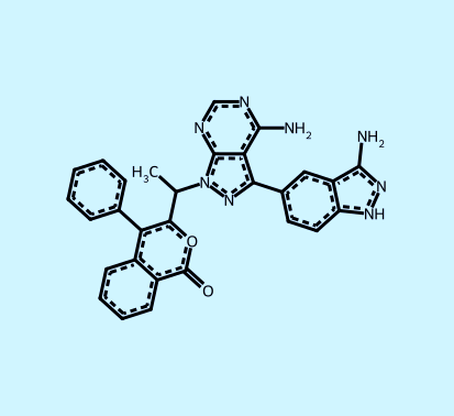 CC(c1oc(=O)c2ccccc2c1-c1ccccc1)n1nc(-c2ccc3[nH]nc(N)c3c2)c2c(N)ncnc21